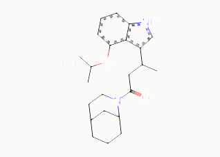 C.CC(C)Oc1cccc2[nH]cc(C(C)CC(=O)N3CCC4CCCC3C4)c12